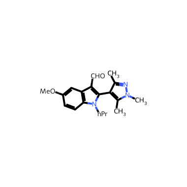 CCCn1c(-c2c(C)nn(C)c2C)c(C=O)c2cc(OC)ccc21